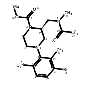 CN(C[C@H]1CN(c2c([N+](=O)[O-])ccc(Br)c2C(F)(F)F)CCN1C(=O)OC(C)(C)C)C(=O)C(F)(F)F